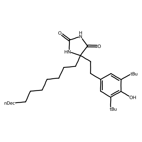 CCCCCCCCCCCCCCCCCC1(CCc2cc(C(C)(C)C)c(O)c(C(C)(C)C)c2)NC(=O)NC1=O